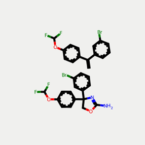 C=C(c1ccc(OC(F)F)cc1)c1cccc(Br)c1.NC1=NC(c2ccc(OC(F)F)cc2)(c2cccc(Br)c2)CO1